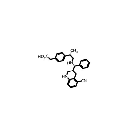 C[C@H](CN[C@H](c1ccccc1)[C@@H]1CNc2cccc(C#N)c2C1)c1ccc(CC(=O)O)cc1